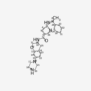 C[C@H](Nc1ccc(C(=O)N[C@H]2COc3cc(N4CCNCC4)ccc3C2)cn1)c1ccccc1